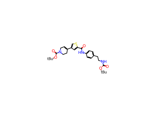 CC(C)(C)OC(=O)NCCc1ccc(NC(=O)c2cc(C3=CCN(C(=O)OC(C)(C)C)CC3)cs2)cc1